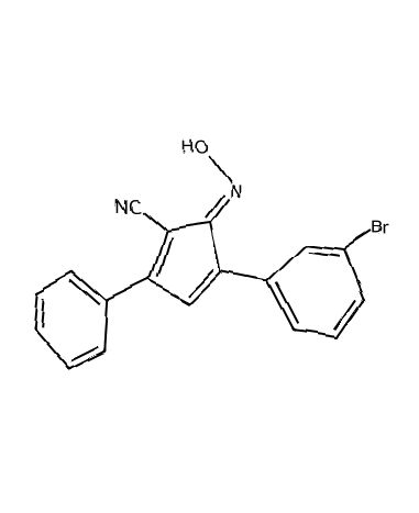 N#CC1=C(c2ccccc2)C=C(c2cccc(Br)c2)C1=NO